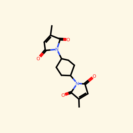 CC1=CC(=O)N(C2CCC(N3C(=O)C=C(C)C3=O)CC2)C1=O